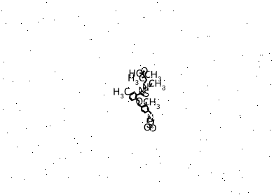 CCN(CCC(C)(C)C(=O)O)c1nc(-c2cc(C)ccc2OCc2ccc(CN3CCS(=O)(=O)CC3)cc2C)cs1